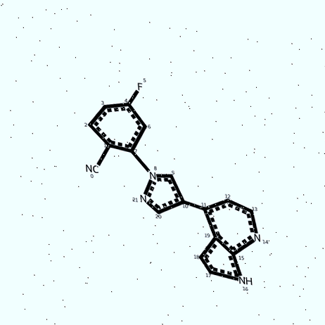 N#Cc1ccc(F)cc1-n1cc(-c2ccnc3[nH]ccc23)cn1